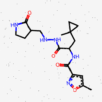 Cc1cc(C(=O)NC(CC2(C)CC2)C(=O)NNCC2CCNC2=O)no1